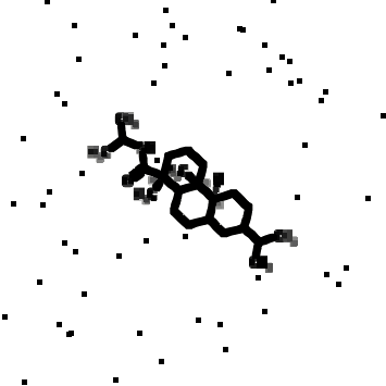 CC(C)NC(=O)[C@]1(C)CCC[C@@]2(C)C1CCC1CC(C(C)C)CC[C@@H]12